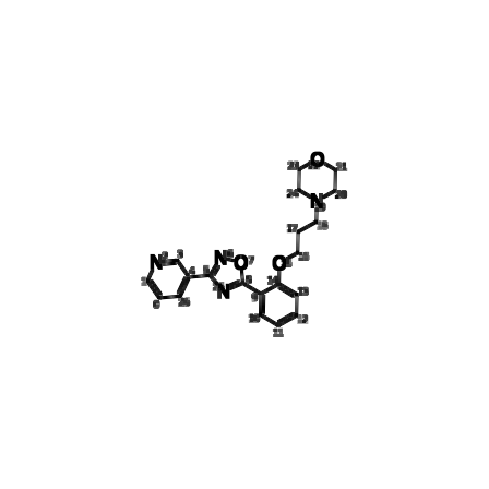 c1cncc(-c2noc(-c3ccccc3OCCCN3CCOCC3)n2)c1